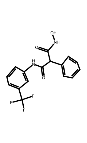 O=C(NO)C(C(=O)Nc1cccc(C(F)(F)F)c1)c1ccccc1